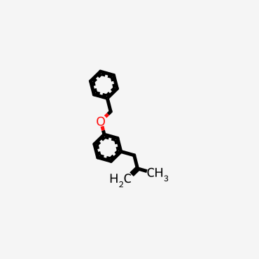 C=C(C)Cc1cccc(OCc2ccccc2)c1